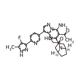 CC(=O)c1c([C@H]2C[C@H]3CC[C@@H](C2)N3C(=O)CO)nc2c(-c3ccc(-c4n[nH]c(C)c4F)nc3)cnn2c1N